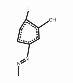 CN=Nc1ccc(I)c(O)c1